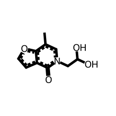 Cc1cn(CC(O)O)c(=O)c2ccoc12